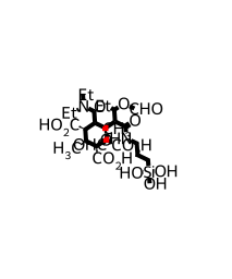 CCC(OC=O)C(C(=O)NCCC[Si](O)(O)O)[C@@H](OC=O)C(C(=O)N(CC)CC)[C@@H](C(=O)O)[C@@H](C)[C@@H](C(=O)O)C(C)C(=O)O